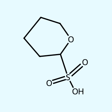 O=S(=O)(O)C1CCCCO1